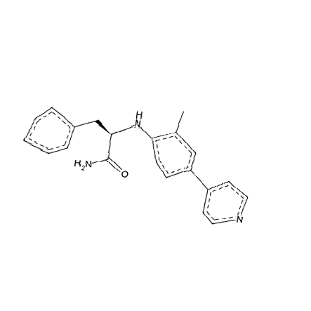 Cc1cc(-c2ccncc2)ccc1N[C@H](Cc1ccccc1)C(N)=O